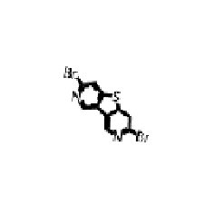 BrC1=NC=C2c3cnc(Br)cc3SC2C1